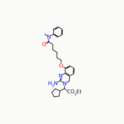 CCOC(=O)C(C1CCCC1)N1Cc2cccc(OCCCCCC(=O)N(C)c3ccccc3)c2N=C1N